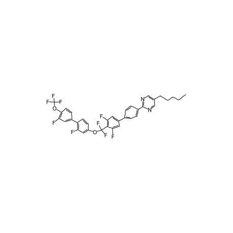 CCCCCc1cnc(-c2ccc(-c3cc(F)c(C(F)(F)Oc4ccc(-c5ccc(OC(F)(F)F)c(F)c5)c(F)c4)c(F)c3)cc2)nc1